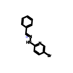 Brc1ccc(N/N=C/c2ccccc2)nc1